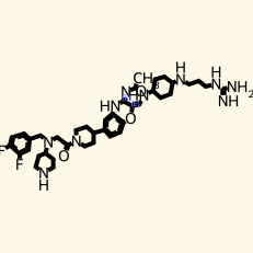 CC(=O)/N=C1/Nc2cc(C3CCN(C(=O)CN(Cc4ccc(F)c(F)c4)C4CCNCC4)CC3)ccc2O/C1=C/NC1CCC(NCCCNC(=N)N)CC1